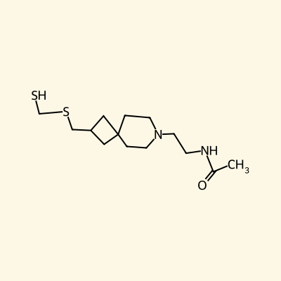 CC(=O)NCCN1CCC2(CC1)CC(CSCS)C2